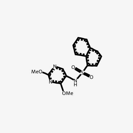 COc1ncc(NS(=O)(=O)c2cccc3ccccc23)c(OC)n1